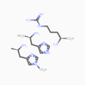 C[C@@H](N)Cc1cn(C(=O)O)cn1.N=C(N)NCCC[C@H](N)C(=O)O.N[C@@H](Cc1c[nH]cn1)C(=O)O